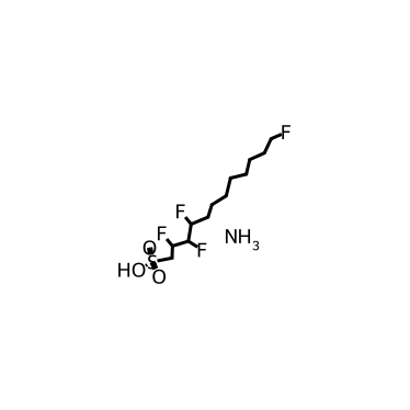 N.O=S(=O)(O)CC(F)C(F)C(F)CCCCCCCCF